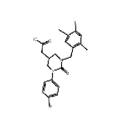 Cc1cc(C)c(CN2CC(CC(=O)O)CN(c3ccc(Br)cc3)C2=O)cc1C